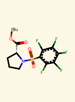 CC(C)(C)OC(=O)[C@H]1CCCN1S(=O)(=O)c1c(F)c(F)c(F)c(F)c1F